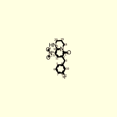 O=c1c(Cc2cccc(F)c2)cc([N+](=O)[O-])c2n1CCCN2